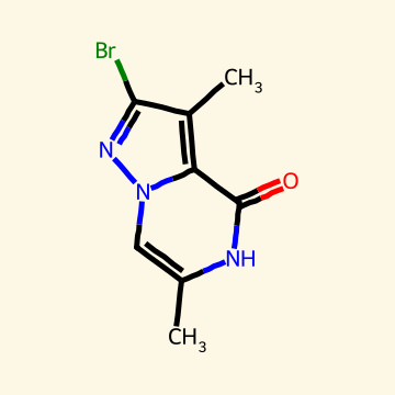 Cc1cn2nc(Br)c(C)c2c(=O)[nH]1